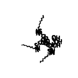 CCCCCCCCCc1nnc(-c2ccc(OC(Oc3ccc(-c4nnc(CCCCCCCCC)s4)cc3)(Oc3ccc(-c4nnc(CCCCCCCCC)s4)cc3)C(=O)O)cc2)s1.OCC(O)CO